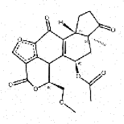 COC[C@H]1OC(=O)c2coc3c2C1C1=C(C3=O)[C@@H]2CCC(=O)[C@@]2(C)C[C@H]1OC(C)=O